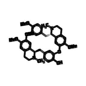 COc1ccc(C[C@H]2c3cc(Oc4cc(C[C@@H]5c6cc(OC)c(OC)cc6CCN5C)ccc4O)c(OC)cc3CCN2C)cc1